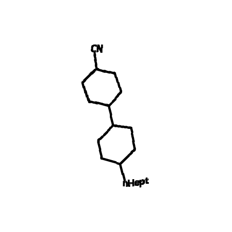 CCCCCCCC1CCC(C2CCC(C#N)CC2)CC1